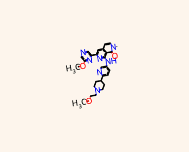 COCCN1CCC(c2ccc(Nc3nc(-c4cncc(OC)n4)cc4c3C(=O)[N]C=C4)cn2)CC1